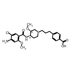 COc1cc(N)c(Cl)cc1C(=O)N[C@@H]1CCN(CCCc2ccc(C(=O)O)cc2)C[C@@H]1OC